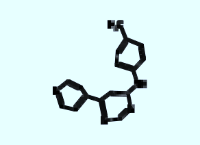 Cc1ccc(Nc2cc(-c3ccncc3)ncn2)cc1